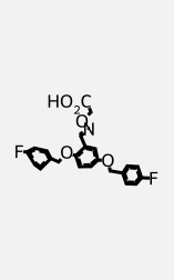 O=C(O)CO/N=C/c1cc(OCc2ccc(F)cc2)ccc1OCc1ccc(F)cc1